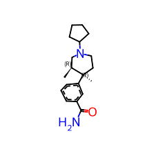 C[C@H]1CN(C2CCCC2)CC[C@@]1(C)c1cccc(C(N)=O)c1